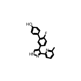 Cc1cccc(-c2n[nH]cc2-c2ccc(F)c(-c3ccc(O)cc3)c2)n1